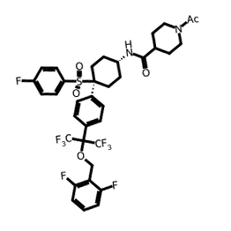 CC(=O)N1CCC(C(=O)N[C@H]2CC[C@](c3ccc(C(OCc4c(F)cccc4F)(C(F)(F)F)C(F)(F)F)cc3)(S(=O)(=O)c3ccc(F)cc3)CC2)CC1